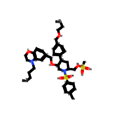 COCCCN1CCOc2ccc(COC3CN(S(=O)(=O)c4ccc(C)cc4)C(COS(C)(=O)=O)CC3c3ccc(COCCOC)cc3)cc21